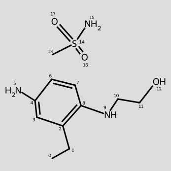 CCc1cc(N)ccc1NCCO.CS(N)(=O)=O